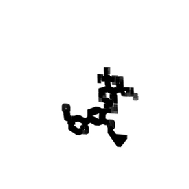 CNc1nc(Nc2ccc(C3CN(C=O)CCO3)cc2OCC2CC2)ncc1C(F)(F)F